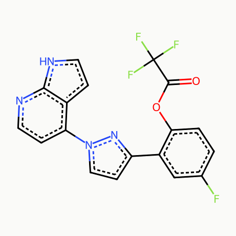 O=C(Oc1ccc(F)cc1-c1ccn(-c2ccnc3[nH]ccc23)n1)C(F)(F)F